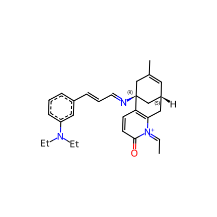 CC=[N+]1C(=O)C=CC2=C1C[C@H]1C=C(C)C[C@]2(N=CC=Cc2cccc(N(CC)CC)c2)C1